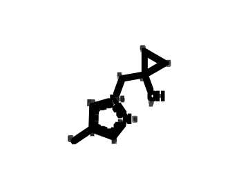 Cc1cnn(CC2(O)CC2)c1